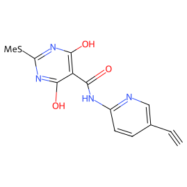 C#Cc1ccc(NC(=O)c2c(O)nc(SC)nc2O)nc1